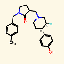 Cc1ccc(CN2CCC(CN3CC[C@@H](c4ccc(O)cc4)[C@H](F)C3)C2=O)cc1